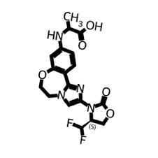 CC(Nc1ccc2c(c1)OCCn1cc(N3C(=O)OC[C@H]3C(F)F)nc1-2)C(=O)O